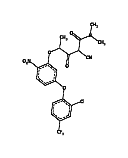 CC(Oc1cc(Oc2ccc(C(F)(F)F)cc2Cl)ccc1[N+](=O)[O-])C(=O)C(C#N)C(=O)N(C)C